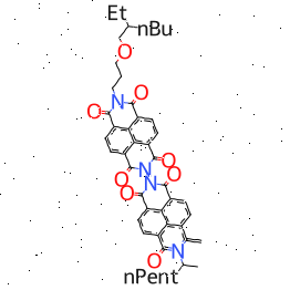 C=c1c2ccc3c4c(ccc(c(=O)n1C(C)CCCCC)c42)C(=O)N(N1C(=O)c2ccc4c5c(ccc(c25)C1=O)C(=O)N(CCCOCC(CC)CCCC)C4=O)C3=O